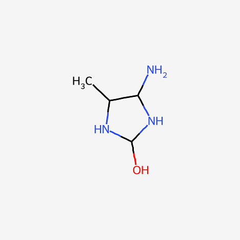 CC1NC(O)NC1N